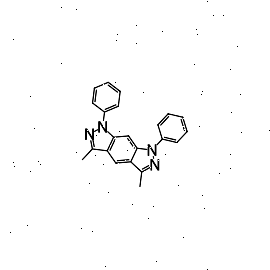 Cc1nn(-c2ccccc2)c2cc3c(cc12)c(C)nn3-c1ccccc1